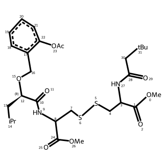 COC(=O)C(CSSCC(NC(=O)[C@@H](CC(C)C)OCc1ccccc1OC(C)=O)C(=O)OC)NC(=O)CC(C)(C)C